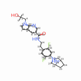 CC(C)(O)Cn1ccc2cc(C(=O)NCCc3cc(F)c(N4CC5CCC(C4)N5)cc3F)cnc21